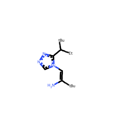 CCC(c1nncn1/C=C(\N)C(C)(C)C)C(C)(C)C